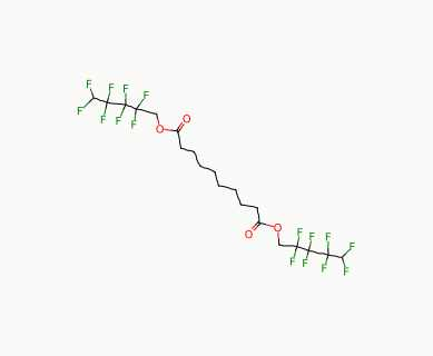 O=C(CCCCCCCCC(=O)OCC(F)(F)C(F)(F)C(F)(F)C(F)F)OCC(F)(F)C(F)(F)C(F)(F)C(F)F